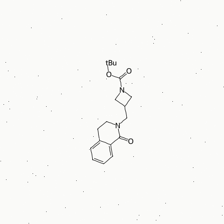 CC(C)(C)OC(=O)N1CC(CN2CCc3ccccc3C2=O)C1